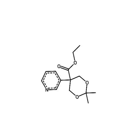 CCOC(=O)C1(c2cccnc2)COC(C)(C)OC1